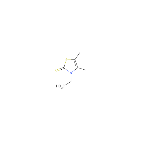 Cc1sc(=S)n(CC(=O)O)c1C